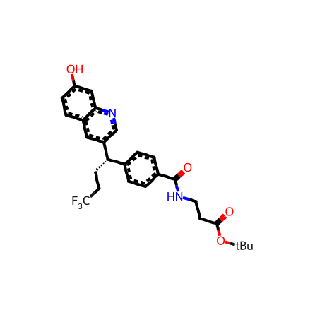 CC(C)(C)OC(=O)CCNC(=O)c1ccc([C@H](CCC(F)(F)F)c2cnc3cc(O)ccc3c2)cc1